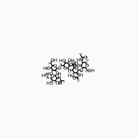 CC(=O)NC1C(O)[C@H](O)[C@H](CO)O[C@H]1OC1[C@@H](OCC2O[C@@H](O[C@@H]3C(CO)O[C@@H](O[C@@H]4C(CO)O[C@@H](C)C(NC(C)=O)[C@H]4O)C(NC(C)=O)[C@H]3O)C(O)[C@@H](O)[C@@H]2O)OC(CO)[C@@H](O)[C@@H]1O